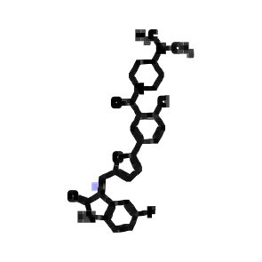 CN(C)C1CCN(C(=O)c2cc(-c3ccc(/C=C4/C(=O)Nc5ccc(F)cc54)o3)ccc2Cl)CC1